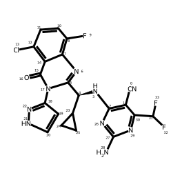 N#Cc1c(N[C@H](c2nc3c(F)ccc(Cl)c3c(=O)n2-c2cc[nH]n2)C2CC2)nc(N)nc1C(F)F